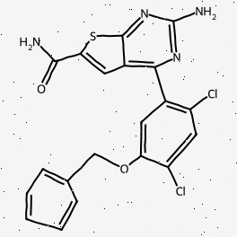 NC(=O)c1cc2c(-c3cc(OCc4ccccc4)c(Cl)cc3Cl)nc(N)nc2s1